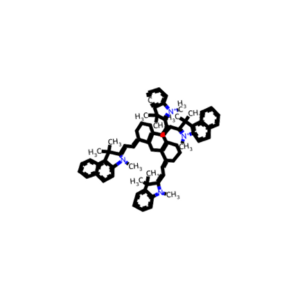 CN1C(=CC=C2CCCC(C=CC3=[N+](C)c4ccccc4C3(C)C)=C2CC2=C(C=CC3=[N+](C)c4ccc5ccccc5c4C3(C)C)CCCC2=CC=C2N(C)c3ccc4ccccc4c3C2(C)C)C(C)(C)c2ccccc21